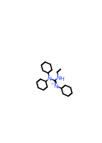 CCN/C(=N\C1CCCCC1)N(C1CCCCC1)C1CCCCC1